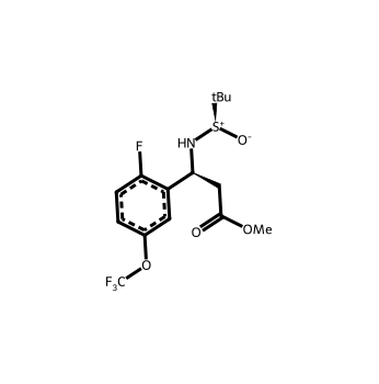 COC(=O)C[C@H](N[S@+]([O-])C(C)(C)C)c1cc(OC(F)(F)F)ccc1F